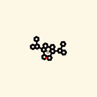 c1ccc(-c2cc(-c3cc(-c4ccccc4)c4oc5c(-c6ccccc6)cc(-c6cc(-c7ccccc7)c7ccccc7c6)c6cccc(c7cccc3c47)c65)cc3ccccc23)cc1